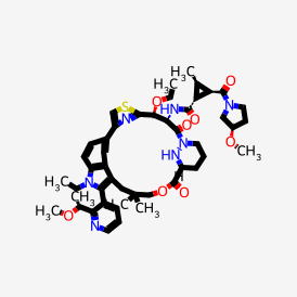 CCO[C@@H]1c2nc(cs2)-c2ccc3c(c2)c(c(-c2cccnc2[C@H](C)OC)n3CC)CC(C)(C)COC(=O)[C@@H]2CCCN(N2)C(=O)[C@H]1NC(=O)[C@@H]1[C@@H](C)[C@H]1C(=O)N1CC[C@@H](OC)C1